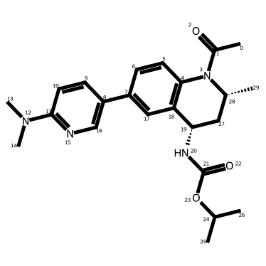 CC(=O)N1c2ccc(-c3ccc(N(C)C)nc3)cc2[C@@H](NC(=O)OC(C)C)C[C@H]1C